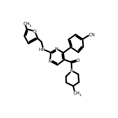 Cc1ccc(CNc2ncc(C(=O)N3CCC(C)CC3)c(-c3ccc(C#N)cc3)n2)o1